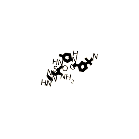 CNc1cnc2sc(C(=O)Nc3cc(NC(=O)c4cccc(C(C)(C)C#N)c4)ccc3C)c(N)c2n1